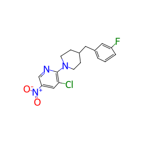 O=[N+]([O-])c1cnc(N2CCC(Cc3cccc(F)c3)CC2)c(Cl)c1